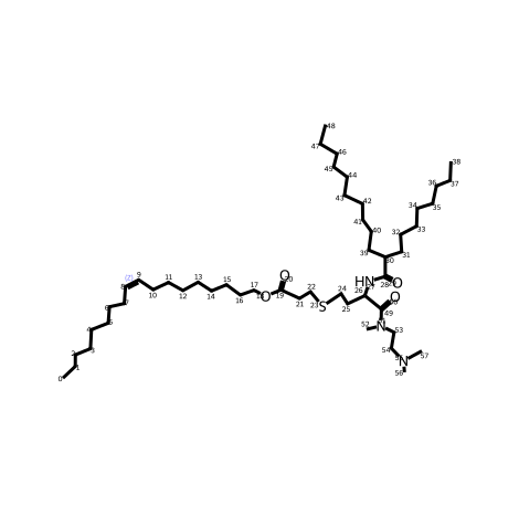 CCCCCCCC/C=C\CCCCCCCCOC(=O)CCSCCC(NC(=O)C(CCCCCCCC)CCCCCCCCCC)C(=O)N(C)CCN(C)C